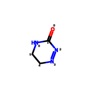 O=C1N=NCCN1